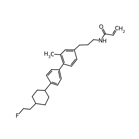 C=CC(=O)NCCCc1ccc(-c2ccc(C3CCC(CCF)CC3)cc2)c(C)c1